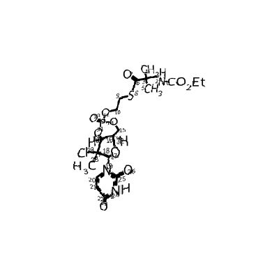 CCOC(=O)NCC(C)(C)C(=O)SCCO[P@@]1(=O)OC[C@H]2O[C@@H](n3ccc(=O)[nH]c3=O)[C@](C)(Cl)[C@@H]2O1